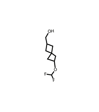 OCC1CC2(C1)CC(OC(F)F)C2